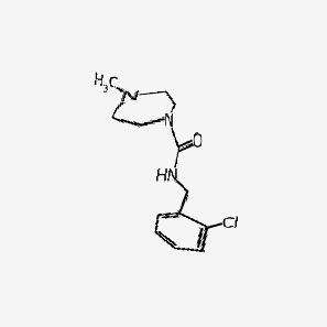 CN1CCN(C(=O)NCc2ccccc2Cl)CC1